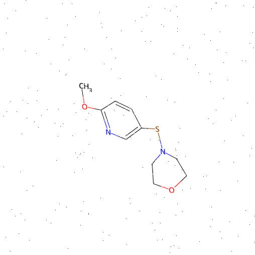 COc1ccc(SN2CCOCC2)cn1